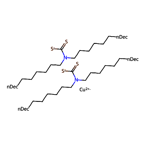 CCCCCCCCCCCCCCCCN(CCCCCCCCCCCCCCCC)C(=S)[S-].CCCCCCCCCCCCCCCCN(CCCCCCCCCCCCCCCC)C(=S)[S-].[Cu+2]